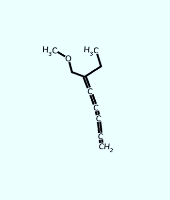 C=C=C=C=C=C(CC)COC